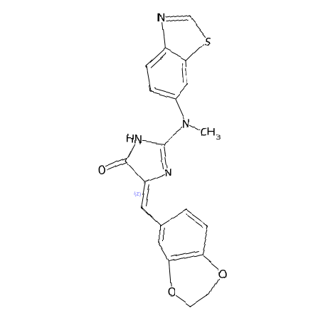 CN(C1=N/C(=C\c2ccc3c(c2)OCCO3)C(=O)N1)c1ccc2ncsc2c1